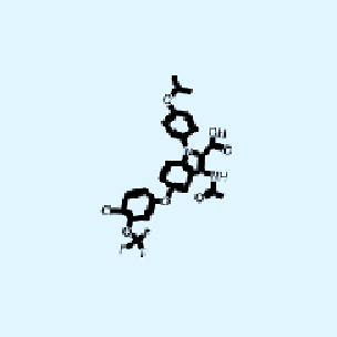 CC(=O)Nc1c(C(=O)O)n(-c2ccc(OC(C)C)cc2)c2ccc(Oc3ccc(Cl)c(OC(F)(F)F)c3)cc12